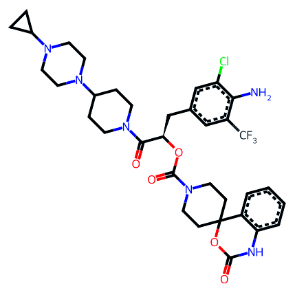 Nc1c(Cl)cc(C[C@@H](OC(=O)N2CCC3(CC2)OC(=O)Nc2ccccc23)C(=O)N2CCC(N3CCN(C4CC4)CC3)CC2)cc1C(F)(F)F